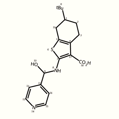 CC(C)(C)C1CCc2c(sc(NC(O)c3ccncc3)c2C(=O)O)C1